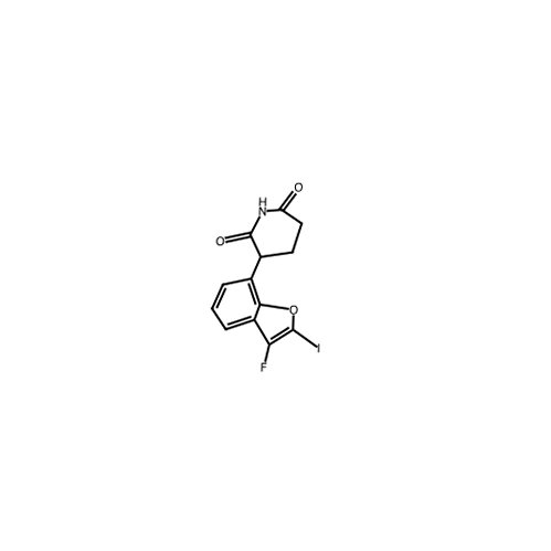 O=C1CCC(c2cccc3c(F)c(I)oc23)C(=O)N1